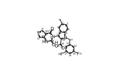 Cc1ccc2c(c1)c(-n1c(=O)[nH]c3cscc3c1=O)c(C(=O)O)n2Cc1cc(F)cc(F)c1